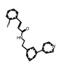 O=C(C=Cc1ccccc1F)NCCc1cccc(-c2ccncc2)c1